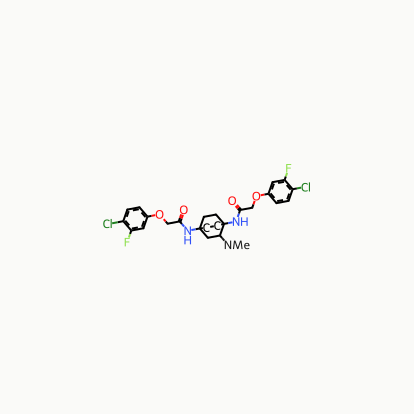 CNC1CC2(NC(=O)COc3ccc(Cl)c(F)c3)CCC1(NC(=O)COc1ccc(Cl)c(F)c1)CC2